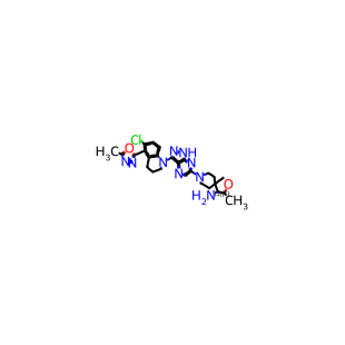 Cc1nnc(-c2c(Cl)ccc3c2CCCN3c2n[nH]c3nc(N4CCC5(CC4)CO[C@@H](C)[C@H]5N)cnc23)o1